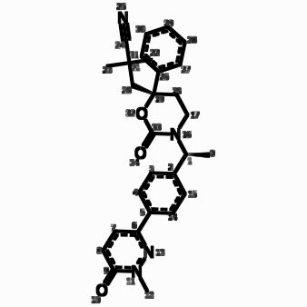 C[C@@H](c1ccc(-c2ccc(=O)n(C)n2)cc1)N1CC[C@@](CC(C)(C)C#N)(c2ccccc2)OC1=O